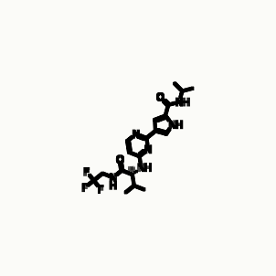 CC(C)NC(=O)c1cc(-c2nccc(N[C@@H](C(=O)NCC(F)(F)F)C(C)C)n2)c[nH]1